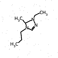 CCCN1C=NN(CC)C1C